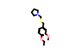 C=C(/C=C\C(=C/COC)CSCN1CCCC1)OCC